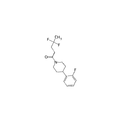 CC(F)(F)CCC(=O)N1CCC(c2ccccc2F)CC1